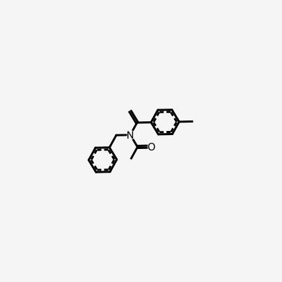 C=C(c1ccc(C)cc1)N(Cc1ccccc1)C(C)=O